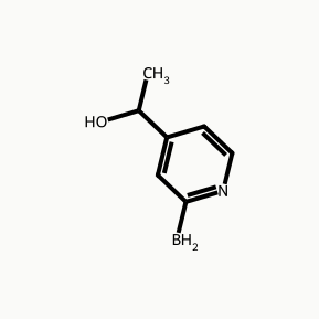 Bc1cc(C(C)O)ccn1